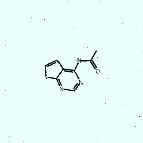 CC(=O)Nc1ncnc2sccc12